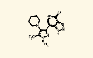 Cn1nc(-c2c[nH]c(=O)c3cn[nH]c23)c(N2CCCCC2)c1C(F)(F)F